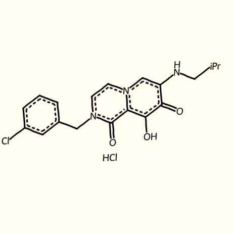 CC(C)CNc1cn2ccn(Cc3cccc(Cl)c3)c(=O)c2c(O)c1=O.Cl